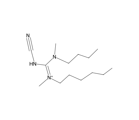 CCCCCC[N+](C)=C(NC#N)N(C)CCCC